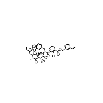 C=CCC[C@@H](OCC)[C@@H](C)C(=O)N[C@H](C(=O)N[C@@H](Cc1cccc(O[Si](C)(C)C(C)(C)C)c1)C(=O)N1CCC[C@@H](C(=O)OCc2cccc(C=C)c2)N1)C(C)C